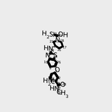 C=C(/C=C(\C=C/N)Oc1ccc2nc(N[C@H]3CCCN(C(O)=[SiH2])C3)sc2c1)C(=O)NC